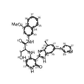 COc1cc(NC(=O)C(CO)Nc2cc[nH]c(=O)c2-c2nc3c(C)cc(-n4ccnc4)cc3[nH]2)cc2ccccc12